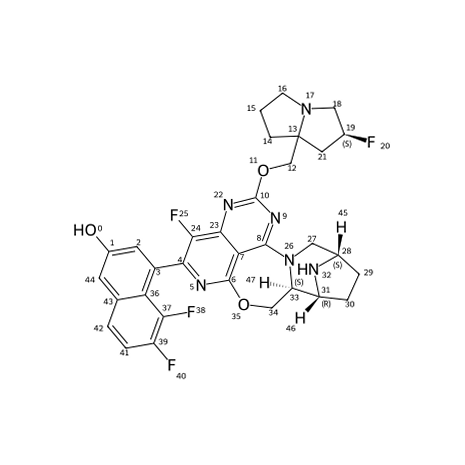 Oc1cc(-c2nc3c4c(nc(OCC56CCCN5C[C@@H](F)C6)nc4c2F)N2C[C@@H]4CC[C@@H](N4)[C@H]2CO3)c2c(F)c(F)ccc2c1